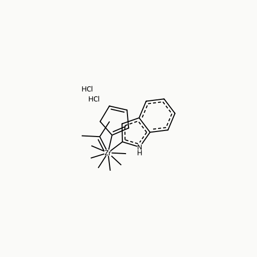 C[C](C)=[Zr]([CH3])([CH3])([CH3])([CH3])([CH3])([CH3])([C]1=CC=CC1)[c]1cc2ccccc2[nH]1.Cl.Cl